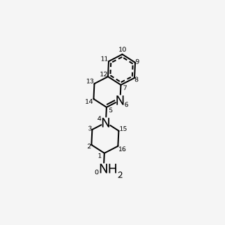 NC1CCN(C2=Nc3ccccc3CC2)CC1